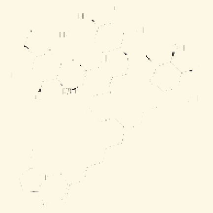 C[C@@H]1O[C@@H](CCCN(CCCCCC(=O)ON2C(=O)CCC2=O)CCO[C@H]2OC(CO[C@H]3O[C@H](CO)[C@@H](O)[C@H](O)[C@@H]3O)[C@@H](O)[C@H](O[C@H]3O[C@H](CO)[C@@H](O)[C@H](O)[C@@H]3O)[C@@H]2O)[C@@H](O)[C@H](O)[C@@H]1O